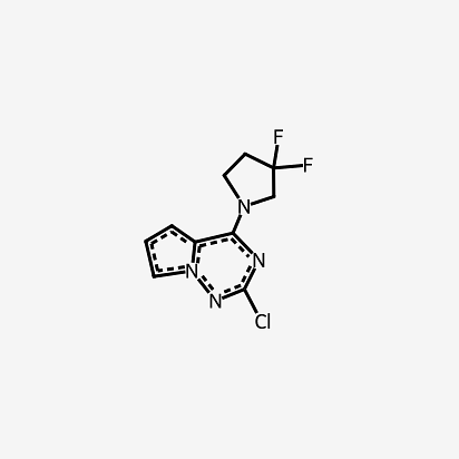 FC1(F)CCN(c2nc(Cl)nn3cccc23)C1